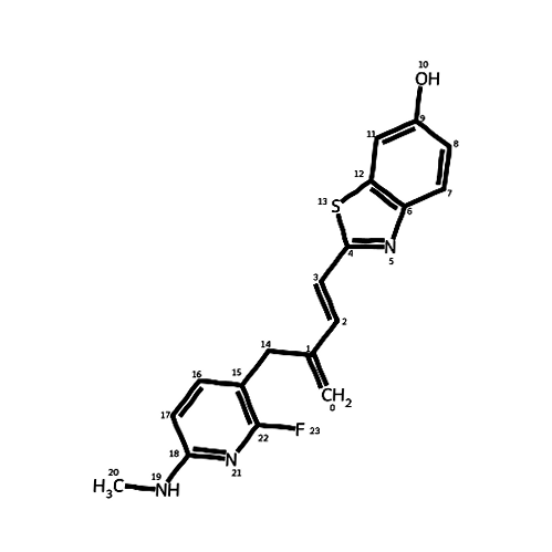 C=C(/C=C/c1nc2ccc(O)cc2s1)Cc1ccc(NC)nc1F